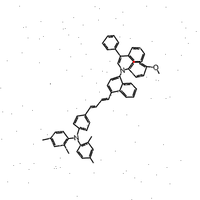 COc1ccc(N(C=C(c2ccccc2)c2ccccc2)c2ccc(/C=C/C=C/c3ccc(N(c4ccc(C)cc4C)c4ccc(C)cc4C)cc3)c3ccccc23)cc1